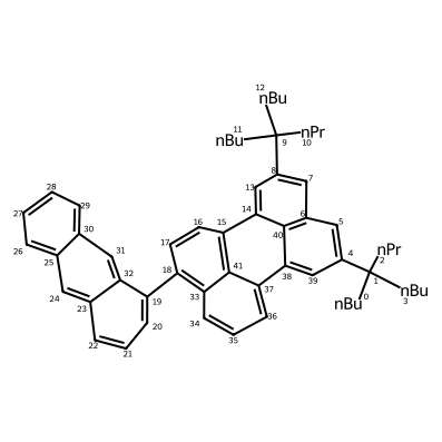 CCCCC(CCC)(CCCC)c1cc2cc(C(CCC)(CCCC)CCCC)cc3c4ccc(-c5cccc6cc7ccccc7cc56)c5cccc(c(c1)c23)c54